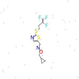 FC(F)=C(F)CCSc1ncc(C=NOCC2CC2)s1